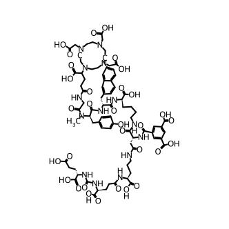 CN(C(=O)CNC(=O)CCC(C(=O)O)N1CCN(CC(=O)O)CCN(CC(=O)O)CCN(CC(=O)O)CC1)[C@H](Cc1ccc(O)cc1)C(=O)N[C@H](Cc1ccc2ccccc2c1)C(=O)N[C@H](CCCCNC(=O)[C@@H](CC(=O)NCCC[C@H](NC(=O)CC[C@H](NC(=O)N[C@@H](CCC(=O)O)C(=O)O)C(=O)O)C(=O)O)NC(=O)c1cc(C(=O)O)cc(C(=O)O)c1)C(=O)O